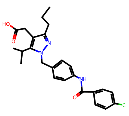 CCCc1nn(Cc2ccc(NC(=O)c3ccc(Cl)cc3)cc2)c(C(C)C)c1CC(=O)O